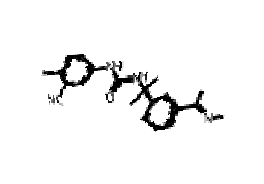 C/N=C(\C)c1cccc(C(C)(C)NC(=O)Nc2ccc(C)c(C#N)c2)c1